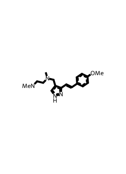 CNCCN(C)Cc1c[nH]nc1/C=C/c1ccc(OC)cc1